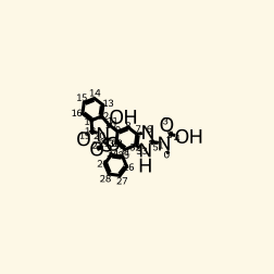 CN(C(=O)O)c1nc2cc(C3(O)c4ccccc4C(=O)N3S(=O)(=O)c3ccccc3)ccc2[nH]1